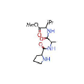 COC(=O)C(NC(=O)C(C)NC(=O)C1CCCN1)C(C)C